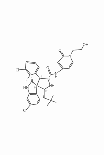 CC(C)(C)C[C@@H]1N[C@@H](C(=O)Nc2ccn(CCO)c(=O)c2)[C@H](c2cccc(Cl)c2F)[C@]12C(=O)Nc1cc(Cl)ccc12